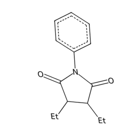 CCC1C(=O)N(c2ccccc2)C(=O)C1CC